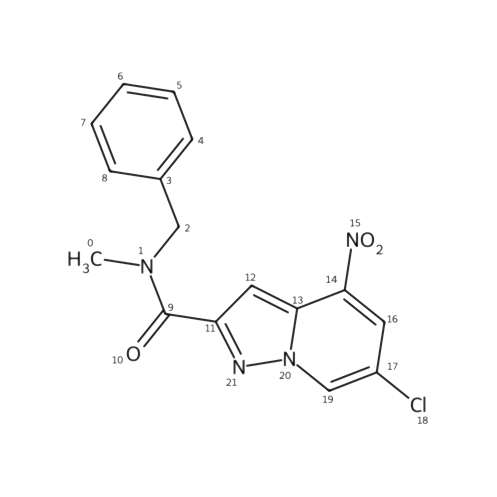 CN(Cc1ccccc1)C(=O)c1cc2c([N+](=O)[O-])cc(Cl)cn2n1